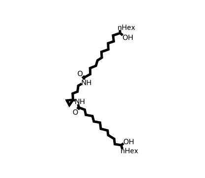 CCCCCCC(O)CCCCCCCCCCC(=O)NCCCC1(NC(=O)CCCCCCCCCCC(O)CCCCCC)CC1